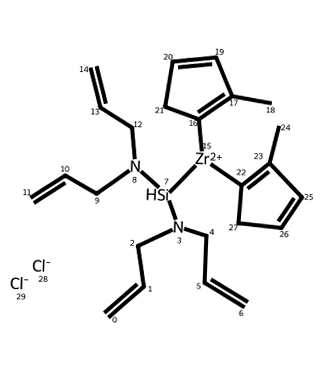 C=CCN(CC=C)[SiH](N(CC=C)CC=C)[Zr+2]([C]1=C(C)C=CC1)[C]1=C(C)C=CC1.[Cl-].[Cl-]